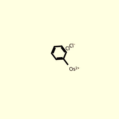 Cc1ccccc1.[Cl-].[Cl-].[Os+2]